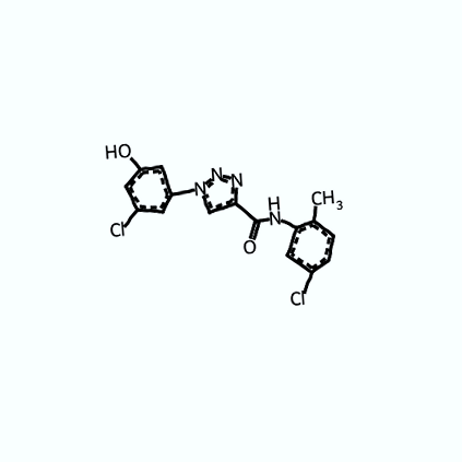 Cc1ccc(Cl)cc1NC(=O)c1cn(-c2cc(O)cc(Cl)c2)nn1